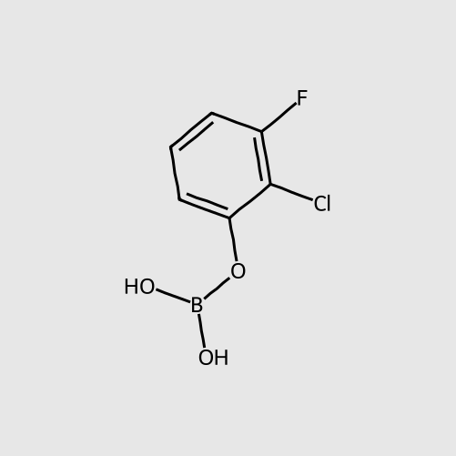 OB(O)Oc1cccc(F)c1Cl